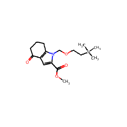 COC(=O)c1cc2c(n1COCC[Si](C)(C)C)CCCC2=O